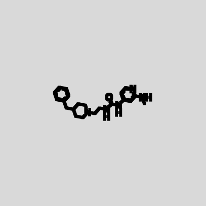 CNc1cc(NC(=O)NCCN2CCC(Cc3ccccc3)CC2)ccn1